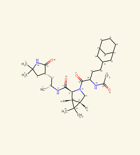 CC1(C)C[C@@H](C[C@@H](C#N)NC(=O)[C@@H]2[C@@H]3[C@H](CN2C(=O)C(CCC2CC4CCCC(C4)C2)NC(=O)C(F)(F)F)C3(C)C)C(=O)N1